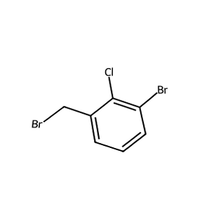 Clc1c(Br)cccc1CBr